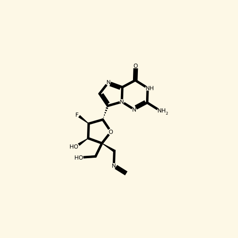 C=NC[C@]1(CO)O[C@@H](c2cnc3c(=O)[nH]c(N)nn23)[C@H](F)[C@@H]1O